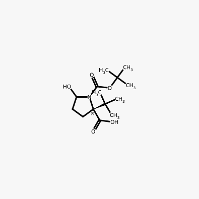 CC(C)(C)OC(=O)N1C(O)CC[C@]1(C(=O)O)C(C)(C)C